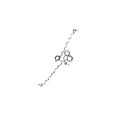 CCCCCCCCCCCCC(c1nccn1CCCCCCCCCCCC)C(C)(Cc1ccccc1)c1ccccc1